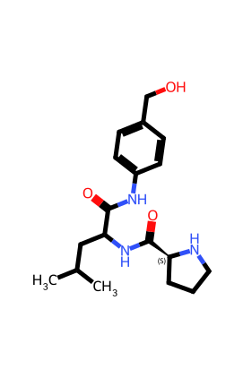 CC(C)CC(NC(=O)[C@@H]1CCCN1)C(=O)Nc1ccc(CO)cc1